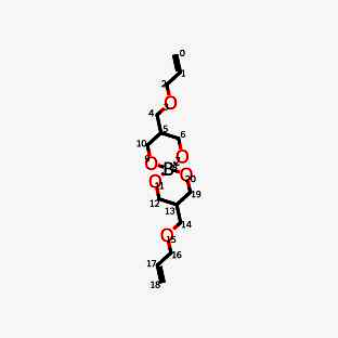 C=CCOCC1CO[B-]2(OC1)OCC(COCC=C)CO2